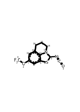 O=C=NC1Sc2cc(OC(F)(F)F)cc3c2N1CCC3